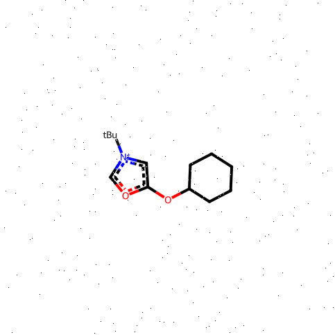 CC(C)(C)[n+]1coc(OC2CCCCC2)c1